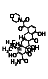 CN(C)[C@@H]1C(O)=C(C(N)=O)C(=O)C2(O)C(O)=C3C(=O)c4c(O)ccc(C(=O)C(=O)N5CCOCC5)c4C[C@H]3C[C@@H]12